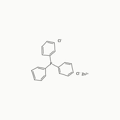 [Cl-].[Cl-].[Zn+2].c1ccc(P(c2ccccc2)c2ccccc2)cc1